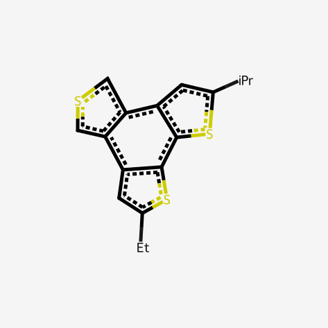 CCc1cc2c3cscc3c3cc(C(C)C)sc3c2s1